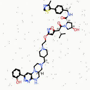 Cc1ncsc1-c1ccc([C@H](C)NC(=O)[C@@H]2C[C@@H](O)CN2C(=O)[C@@H](c2cc(OCCN3CCC([C@H](C)N4CCN5c6cc(-c7ccccc7O)nnc6NC[C@@H]5C4)CC3)no2)C(C)C)cc1